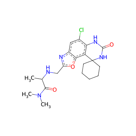 CC(NCc1nc2cc(Cl)c3c(c2o1)C1(CCCCC1)NC(=O)N3)C(=O)N(C)C